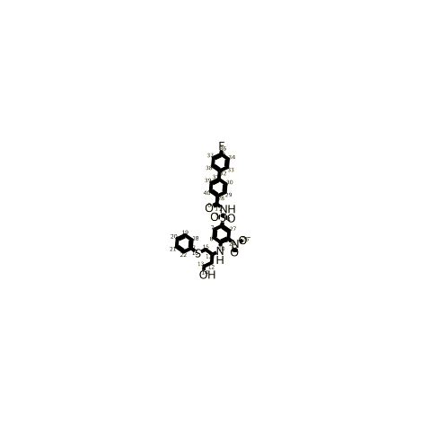 O=C(NS(=O)(=O)c1ccc(NC(CCO)CSc2ccccc2)c([N+](=O)[O-])c1)c1ccc(-c2ccc(F)cc2)cc1